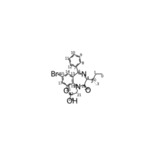 CC[C@H](C)C1N=C(c2ccccc2)c2cc(Br)ccc2N(CC(=O)O)C1=O